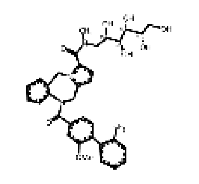 COc1cc(C(=O)N2Cc3ccc(C(=O)N(C)C[C@@H](O)[C@H](O)[C@H](O)[C@@H](O)CO)n3Cc3ccccc32)ccc1-c1ccccc1C(F)(F)F